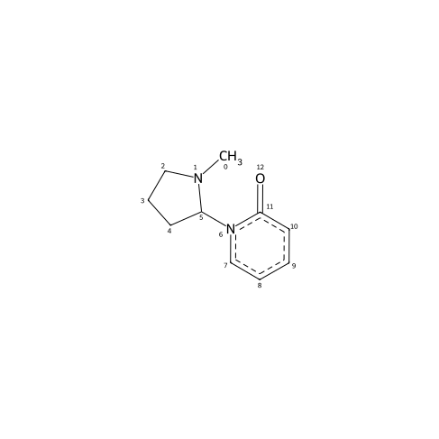 CN1CCCC1n1ccccc1=O